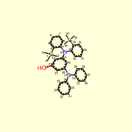 C[Si](C)(C)c1ccccc1N(c1cc(O)cc(N(c2ccccc2)c2ccccc2)c1)c1ccccc1[Si](C)(C)C